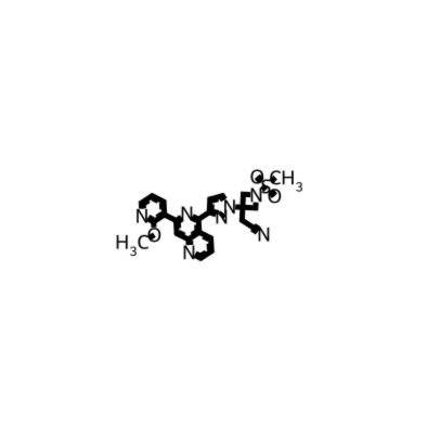 COc1ncccc1-c1cc2ncccc2c(-c2ccn(C3(CC#N)CN(S(C)(=O)=O)C3)n2)n1